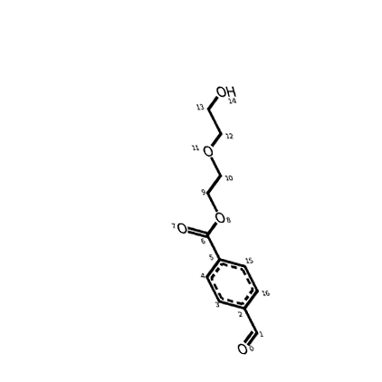 O=Cc1ccc(C(=O)OCCOCCO)cc1